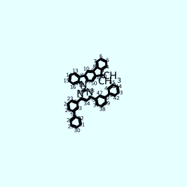 CC1(C)c2ccccc2-c2cc3c4ccccc4n(-c4nc(-c5cccc(-c6ccccc6)c5)cc(-c5cccc(-c6ccccc6)c5)n4)c3cc21